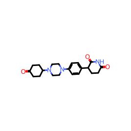 O=C1CCC(N2CCN(c3ccc(C4CCC(=O)NC4=O)cc3)CC2)CC1